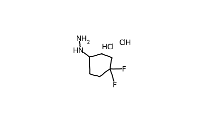 Cl.Cl.NNC1CCC(F)(F)CC1